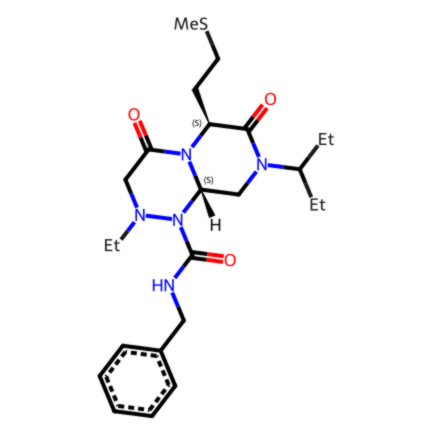 CCC(CC)N1C[C@H]2N(C(=O)CN(CC)N2C(=O)NCc2ccccc2)[C@@H](CCSC)C1=O